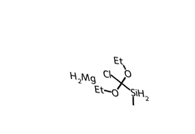 CCOC(Cl)(OCC)[SiH2]C.[MgH2]